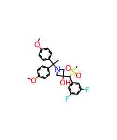 COc1ccc(C(C)(c2ccc(OC)cc2)N2CC(O)(C(c3cc(F)cc(F)c3)S(C)(=O)=O)C2)cc1